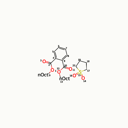 CCCCCCCCOC(=O)c1ccccc1C(=O)OCCCCCCCC.O=S1(=O)CCCC1